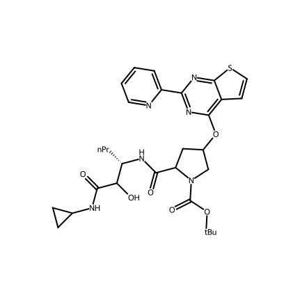 CCC[C@H](NC(=O)C1CC(Oc2nc(-c3ccccn3)nc3sccc23)CN1C(=O)OC(C)(C)C)C(O)C(=O)NC1CC1